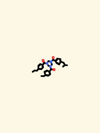 CCCc1ccc(C(=O)N2CN(C(=O)c3ccc(CC)cc3)CN(C(=O)c3ccc(CC(C)C)cc3)C2)cc1